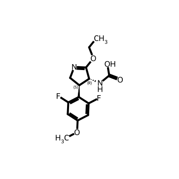 CCOC1=NC[C@H](c2c(F)cc(OC)cc2F)[C@H]1NC(=O)O